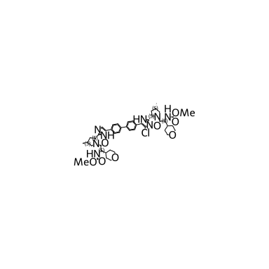 COC(=O)N[C@H](C(=O)N1C[C@@H](C)C[C@H]1c1ncc(-c2ccc(-c3ccc(-c4[nH]c([C@@H]5C[C@H](C)CN5C(=O)[C@@H](NC(=O)OC)C5CCOCC5)nc4Cl)cc3)cc2)[nH]1)C1CCOCC1